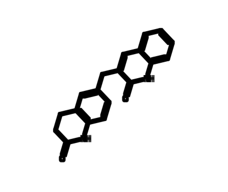 O=C1CCc2cc(Cc3cc4ccccc4[nH]c3=O)ccc2N1